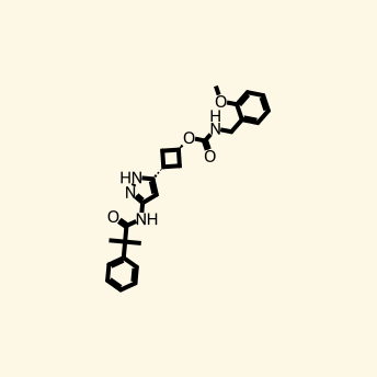 COc1ccccc1CNC(=O)O[C@H]1C[C@@H](c2cc(NC(=O)C(C)(C)c3ccccc3)n[nH]2)C1